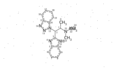 CC(C(c1nc2ccccc2[nH]1)n1nnc2ccccc21)N(C)C.Cl